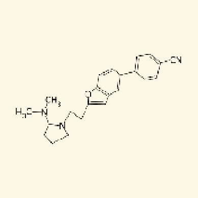 CN(C)C1CCCN1CCc1cc2cc(-c3ccc(C#N)cc3)ccc2o1